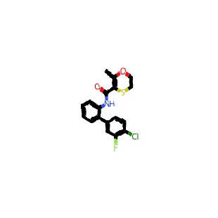 CC1=C(C(=O)Nc2ccccc2-c2ccc(Cl)c(F)c2)SCCO1